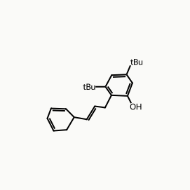 CC(C)(C)c1cc(O)c(CC=CC2C=CC=CC2)c(C(C)(C)C)c1